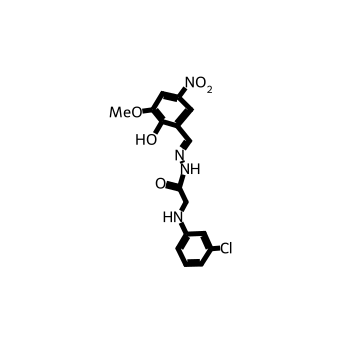 COc1cc([N+](=O)[O-])cc(/C=N/NC(=O)CNc2cccc(Cl)c2)c1O